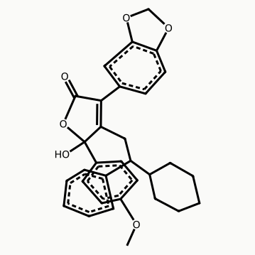 COc1ccc(C2(O)OC(=O)C(c3ccc4c(c3)OCO4)=C2CC(c2ccccc2)C2CCCCC2)cc1